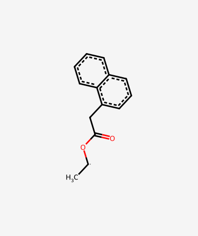 C[CH]OC(=O)Cc1cccc2ccccc12